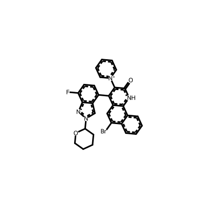 O=c1[nH]c2c(cc(Br)c3ccccc32)c(-c2ccc(F)c3nn(C4CCCCO4)cc23)c1-[n+]1ccccc1